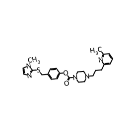 Cc1cccc(CCCN2CCN(C(=O)Oc3ccc(CSc4nccn4C)cc3)CC2)n1